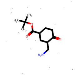 CC(C)(C)OC(=O)C1CCC(=O)C(CN)C1